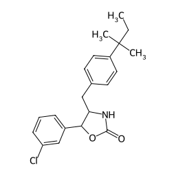 CCC(C)(C)c1ccc(CC2NC(=O)OC2c2cccc(Cl)c2)cc1